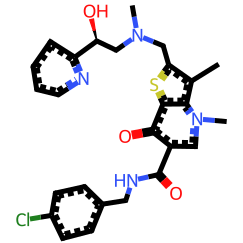 Cc1c(CN(C)C[C@H](O)c2ccccn2)sc2c(=O)c(C(=O)NCc3ccc(Cl)cc3)cn(C)c12